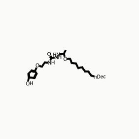 CCCCCCCCCCCCCCCCCCOC(C)NNC(=O)NCCOc1ccc(O)cc1